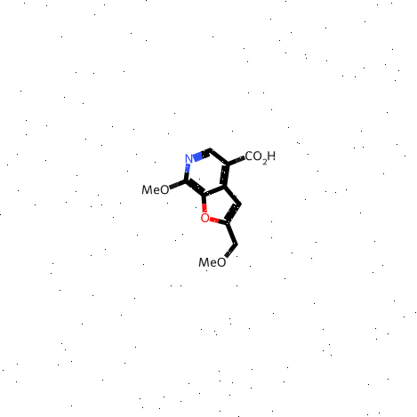 COCc1cc2c(C(=O)O)cnc(OC)c2o1